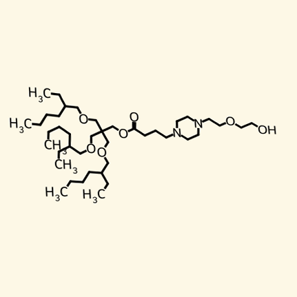 CCCCC(CC)COCC(COCC(CC)CCCC)(COCC(CC)CCCC)COC(=O)CCCN1CCN(CCOCCO)CC1